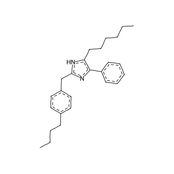 CCCCCCc1[nH]c(Cc2ccc(CCCC)cc2)nc1-c1ccccc1